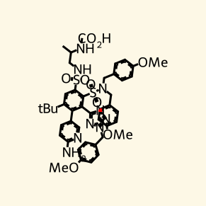 COc1ccc(CN(Cc2ccc(OC)cc2)S(=O)(=O)c2c(S(=O)(=O)NCC(C)NC(=O)O)cc(C(C)(C)C)c(-c3ccc(N)nc3)c2-c2nnn(Cc3ccc(OC)cc3)n2)cc1